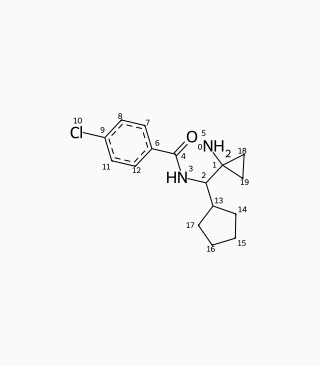 NC1(C(NC(=O)c2ccc(Cl)cc2)C2CCCC2)CC1